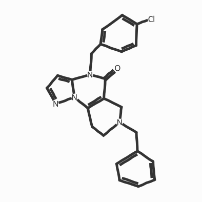 O=c1c2c(n3nccc3n1Cc1ccc(Cl)cc1)CCN(Cc1ccccc1)C2